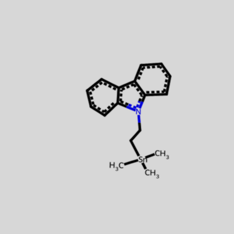 [CH3][Sn]([CH3])([CH3])[CH2]Cn1c2ccccc2c2ccccc21